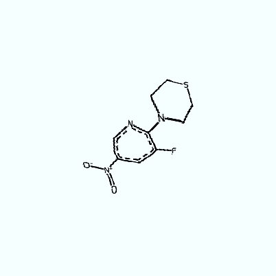 O=[N+]([O-])c1cnc(N2CCSCC2)c(F)c1